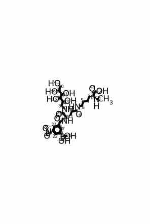 CN[C@@H](CCCCNC(=O)CC[C@H](NC(=O)c1cc(B(O)O)cc([N+](=O)[O-])c1)C(=O)NC[C@@H](O)[C@H](O)[C@@H](O)[C@@H](O)CO)C(=O)O